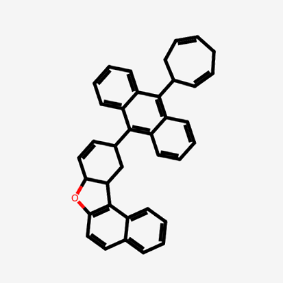 C1=CCC(c2c3ccccc3c(C3C=CC4Oc5ccc6ccccc6c5C4C3)c3ccccc23)C=CC1